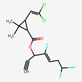 C#CC(OC(=O)C1C(C=C(Cl)Cl)C1(C)C)C(F)=CCC(F)F